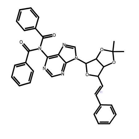 CC1(C)OC2C(/C=C/c3ccccc3)OC(n3cnc4c(N(C(=O)c5ccccc5)C(=O)c5ccccc5)ncnc43)C2O1